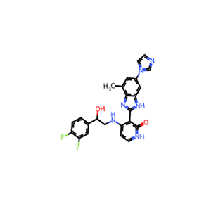 Cc1cc(-n2ccnc2)cc2[nH]c(-c3c(NCC(O)c4ccc(F)c(F)c4)cc[nH]c3=O)nc12